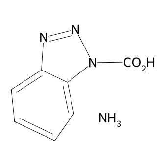 N.O=C(O)n1nnc2ccccc21